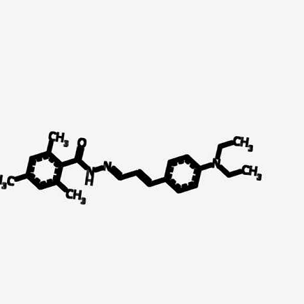 CCN(CC)c1ccc(/C=C/C=N/NC(=O)c2c(C)cc(C)cc2C)cc1